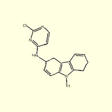 CCn1c2c(c3c1CCC=C3)CC(Nc1ccnc(Cl)n1)C=C2